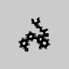 CCN(CC)CCCC(C)Nc1nc(-c2cccc(-c3cccc(Cl)c3)c2)nc2c(C)cccc12